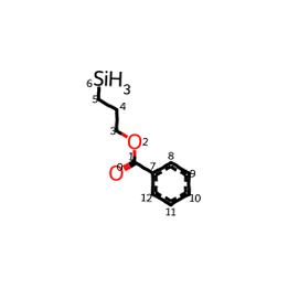 O=C(OCCC[SiH3])c1ccccc1